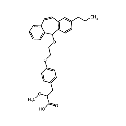 CCCc1ccc2c(c1)C=Cc1ccccc1C2OCCOc1ccc(CC(OC)C(=O)O)cc1